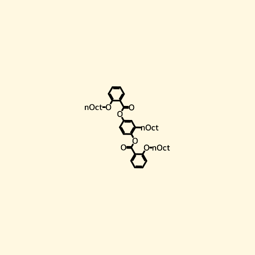 CCCCCCCCOc1ccccc1C(=O)Oc1ccc(OC(=O)c2ccccc2OCCCCCCCC)c(CCCCCCCC)c1